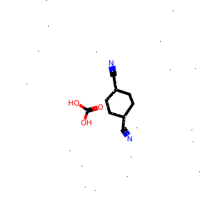 N#CC1CCC(C#N)CC1.O=C(O)O